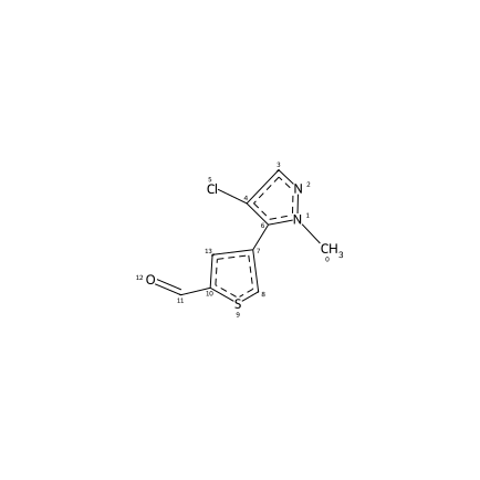 Cn1ncc(Cl)c1-c1csc(C=O)c1